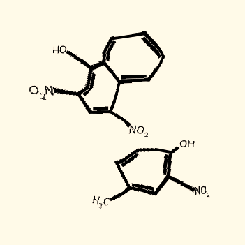 Cc1ccc(O)c([N+](=O)[O-])c1.O=[N+]([O-])c1cc([N+](=O)[O-])c2ccccc2c1O